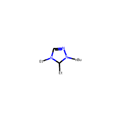 CCCCN1N=CN(CC)C1CC